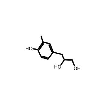 Cc1cc(CC(O)CO)ccc1O